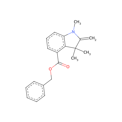 C=C1N(C)c2cccc(C(=O)OCc3ccccc3)c2C1(C)C